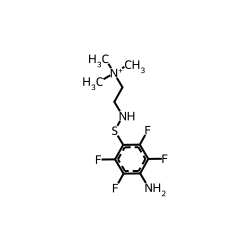 C[N+](C)(C)CCNSc1c(F)c(F)c(N)c(F)c1F